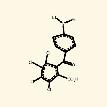 CCN(CC)c1ccc(C(=O)c2c(Cl)c(Cl)c(Cl)c(Cl)c2C(=O)O)cc1